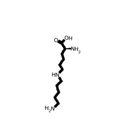 NCCCCCNCCCC[C@H](N)C(=O)O